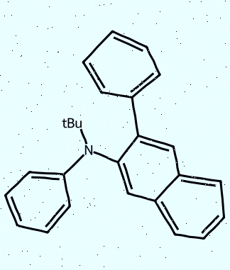 CC(C)(C)N(c1ccccc1)c1cc2ccccc2cc1-c1ccccc1